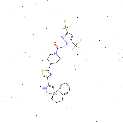 O=C(Cn1nc(C(F)(F)F)cc1C(F)(F)F)N1CCC(c2nc(C3=C[C@@]4(CCCc5ccccc54)ON3)cs2)CC1